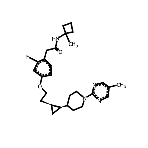 Cc1cnc(N2CCC([C@H]3C[C@H]3CCOc3ccc(CC(=O)NC4(C)CCC4)c(F)c3)CC2)nc1